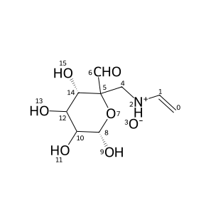 C=C[NH+]([O-])CC1(C=O)O[C@H](O)C(O)C(O)[C@@H]1O